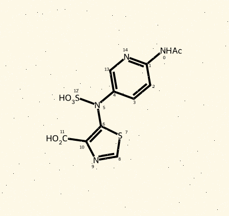 CC(=O)Nc1ccc(N(c2scnc2C(=O)O)S(=O)(=O)O)cn1